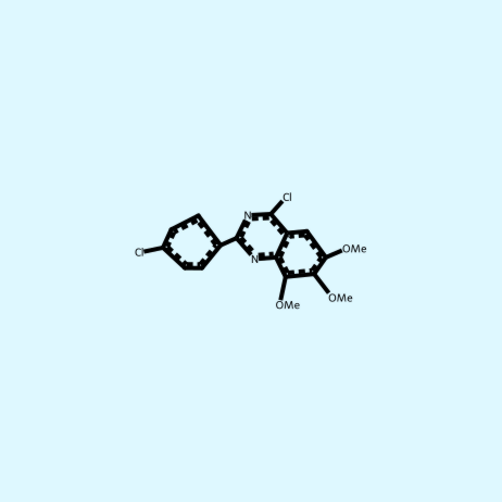 COc1cc2c(Cl)nc(-c3ccc(Cl)cc3)nc2c(OC)c1OC